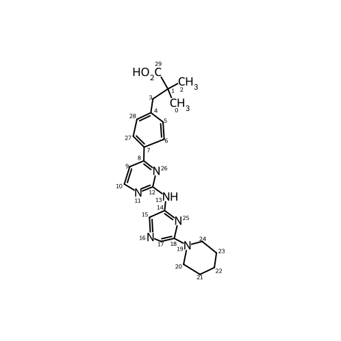 CC(C)(Cc1ccc(-c2ccnc(Nc3cncc(N4CCCCC4)n3)n2)cc1)C(=O)O